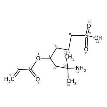 C=CC(=O)OC(CCCS(=O)(=O)O)CC(C)(C)N